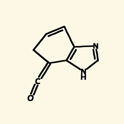 O=C=C1CC=Cc2nc[nH]c21